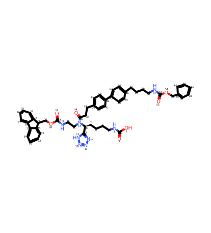 O=C(O)NCCCC[C@@H](c1nnn[nH]1)N(CCNC(=O)OCC1c2ccccc2-c2ccccc21)C(=O)CCc1ccc(-c2ccc(CCCCNC(=O)OCc3ccccc3)cc2)cc1